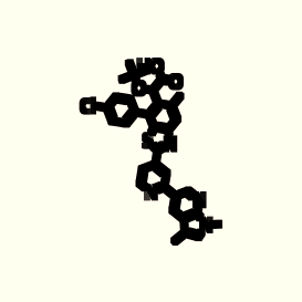 Cc1cc2nc(-c3ccnc(-c4cnc5c(c4)c(C)cn5C)c3)sc2c(-c2ccc(Cl)cc2)c1C(OC(C)(C)C)C(=O)O